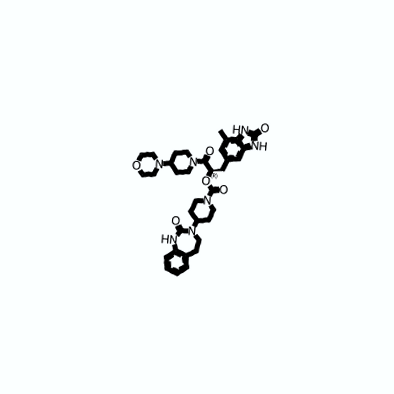 Cc1cc(C[C@@H](OC(=O)N2CCC(N3CCc4ccccc4NC3=O)CC2)C(=O)N2CCC(N3CCOCC3)CC2)cc2[nH]c(=O)[nH]c12